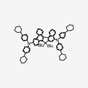 CC(C)(C)C1(C(C)(C)C)c2cc(N(c3ccc(C4CCCCC4)cc3)c3ccc(C4CCCCC4)cc3)c3ccccc3c2-c2c1c1ccc(N(c3ccc(C4CCCCC4)cc3)c3ccc(C4CCCCC4)cc3)cc1c1ccccc21